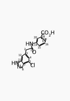 O=C(Cc1cc(Cl)c2cn[nH]c2c1)Nc1ccnc(C(=O)O)c1